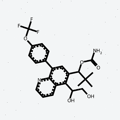 CC(C)(C)C(OC(N)=O)c1cc(-c2ccc(OC(F)(F)F)cc2)c2ncccc2c1C(O)CO